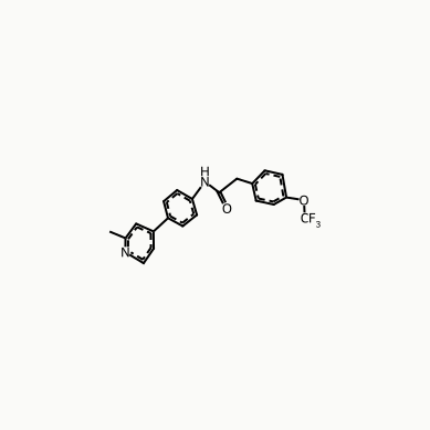 Cc1cc(-c2ccc(NC(=O)Cc3ccc(OC(F)(F)F)cc3)cc2)ccn1